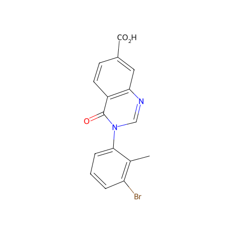 Cc1c(Br)cccc1-n1cnc2cc(C(=O)O)ccc2c1=O